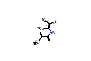 C=C(N/C(=C(\CC)C(C)(C)C)C(C)(C)C)C(C)CCCC